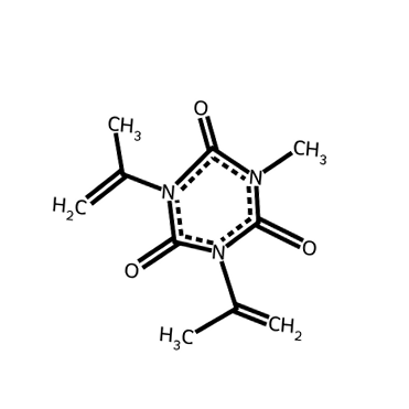 C=C(C)n1c(=O)n(C)c(=O)n(C(=C)C)c1=O